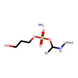 CCCCCNC(CC)OS(=O)(=O)OCCCO.N